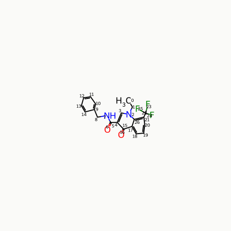 CCn1cc(C(=O)NCc2ccccc2)c(=O)c2cccc(C(F)(F)F)c21